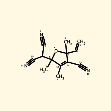 C=CC1(C)OC(C)(C(C#N)C#N)C(C)=C1C#N